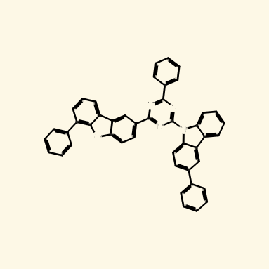 c1ccc(-c2ccc3c(c2)c2ccccc2n3-c2nc(-c3ccccc3)nc(-c3ccc4oc5c(-c6ccccc6)cccc5c4c3)n2)cc1